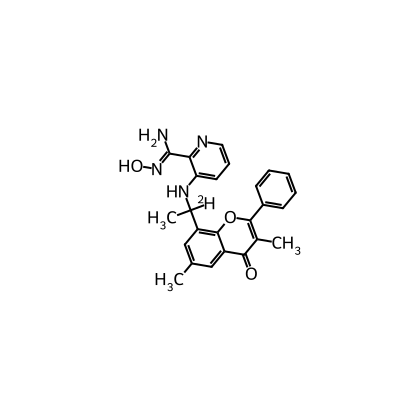 [2H]C(C)(Nc1cccnc1C(N)=NO)c1cc(C)cc2c(=O)c(C)c(-c3ccccc3)oc12